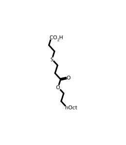 CCCCCCCCCCOC(=O)CCSCCC(=O)O